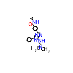 CN(C)CCNc1nc(-c2ccccc2)cn2c(-c3ccc(C(=O)NC4CC4)cc3)cnc12